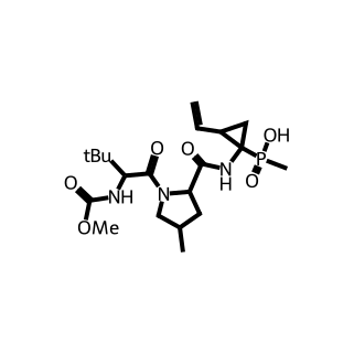 C=CC1CC1(NC(=O)C1CC(C)CN1C(=O)C(NC(=O)OC)C(C)(C)C)P(C)(=O)O